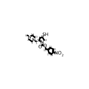 CN1CCN(C[C@@H]2C[C@H](S)CN2C(=O)OCc2ccc([N+](=O)[O-])cc2)CC1